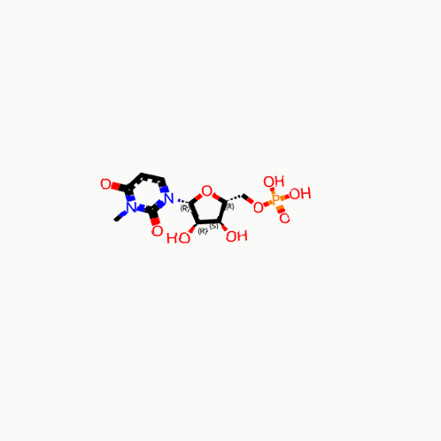 Cn1c(=O)ccn([C@@H]2O[C@H](COP(=O)(O)O)[C@@H](O)[C@H]2O)c1=O